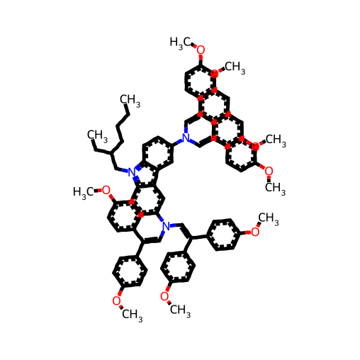 CCCCC(CC)Cn1c2ccc(N(C=C(c3ccc(OC)cc3)c3ccc(OC)cc3)C=C(c3ccc(OC)cc3)c3ccc(OC)cc3)cc2c2cc(N(C=C(c3ccc(OC)cc3)c3ccc(OC)cc3)C=C(c3ccc(OC)cc3)c3ccc(OC)cc3)ccc21